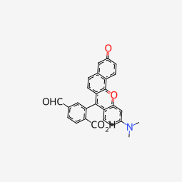 CN(C)c1ccc2c(-c3cc(C=O)ccc3C(=O)O)c3ccc4cc(=O)ccc4c3oc2c1